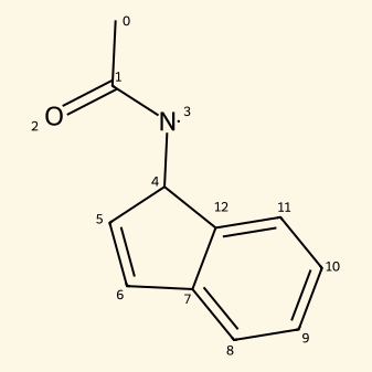 CC(=O)[N]C1C=Cc2ccccc21